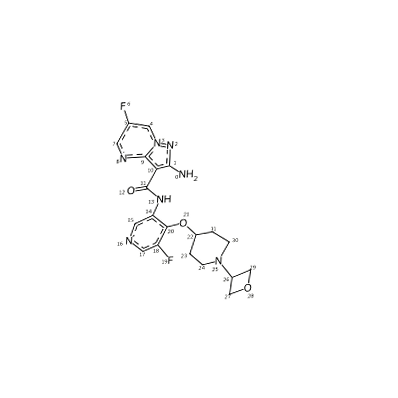 Nc1nn2cc(F)cnc2c1C(=O)Nc1cncc(F)c1OC1CCN(C2COC2)CC1